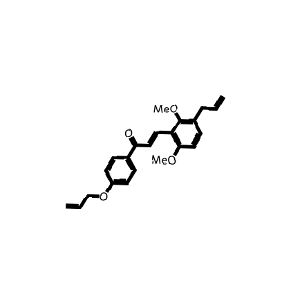 C=CCOc1ccc(C(=O)/C=C/c2c(OC)ccc(CC=C)c2OC)cc1